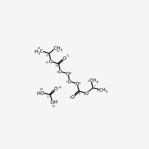 CC(C)OC(=O)OOOOC(=O)OC(C)C.O=C(O)O